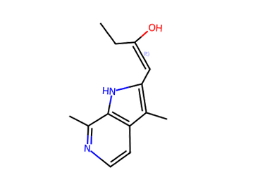 CC/C(O)=C\c1[nH]c2c(C)nccc2c1C